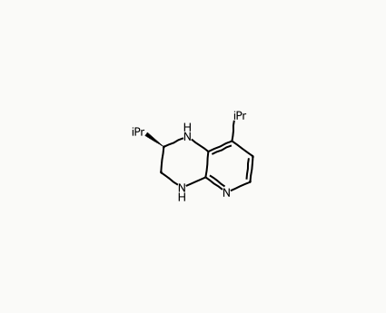 CC(C)c1ccnc2c1N[C@H](C(C)C)CN2